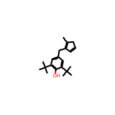 CC1=C(Cc2cc(C(C)(C)C)c(O)c(C(C)(C)C)c2)C=CC1